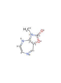 Cn1c2c(oc1=O)C=NC=C=N2